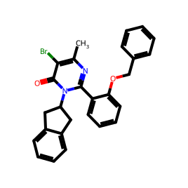 Cc1nc(-c2ccccc2OCc2ccccc2)n(C2Cc3ccccc3C2)c(=O)c1Br